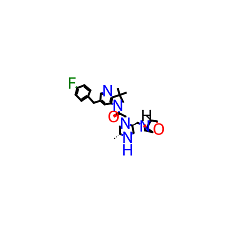 C[C@@H]1CN(CC(=O)N2CC(C)(C)c3ncc(Cc4ccc(F)cc4)cc32)[C@@H](CN2CC3C[C@H]2CO3)CN1